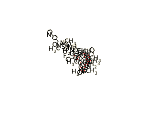 Cc1nc(N(C)C(=O)C(c2ccc(-c3cccc(F)c3)cc2)C(C(=O)N(C)c2nc(C)c(S(N)(=O)=O)s2)(c2ccc(-c3ccccc3)cc2)C(C(=O)N(C)c2nc(C)c(S(N)(=O)=O)s2)c2ccc(-c3ccccc3F)cc2)sc1S(N)(=O)=O.Cc1nc(N(C)C(=O)Cc2ccc(-c3ccccn3)cc2)sc1S(N)(=O)=O